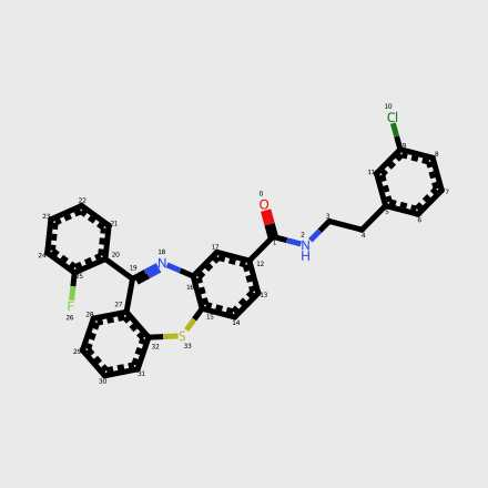 O=C(NCCc1cccc(Cl)c1)c1ccc2c(c1)N=C(c1ccccc1F)c1ccccc1S2